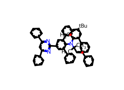 Cc1cc(C(C)(C)C)cc(-c2ccccc2)c1N(c1c(-c2ccccc2)cc(-c2nc(-c3ccccc3)cc(-c3ccccc3)n2)cc1-c1ccccc1)C(C)(C)/C=C/c1ccccc1